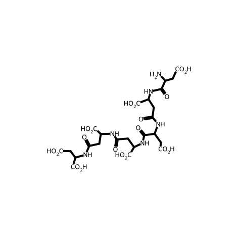 NC(CC(=O)O)C(=O)NC(CC(=O)NC(CC(=O)O)C(=O)NC(CC(=O)NC(CC(=O)NC(CC(=O)O)C(=O)O)C(=O)O)C(=O)O)C(=O)O